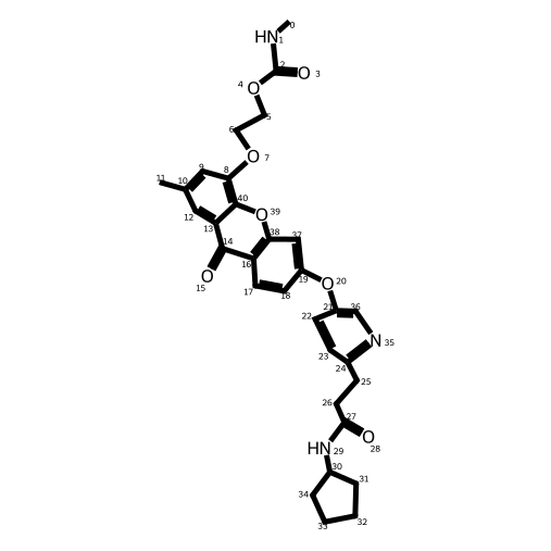 CNC(=O)OCCOc1cc(C)cc2c(=O)c3ccc(Oc4ccc(CCC(=O)NC5CCCC5)nc4)cc3oc12